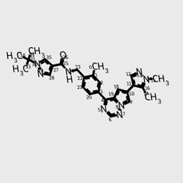 Cc1cc(-c2ncnn3cc(-c4cnn(C)c4C)cc23)ccc1CNC(=O)c1cnn(C(C)(C)C)c1